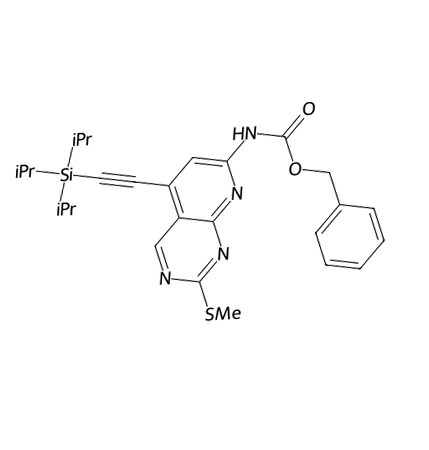 CSc1ncc2c(C#C[Si](C(C)C)(C(C)C)C(C)C)cc(NC(=O)OCc3ccccc3)nc2n1